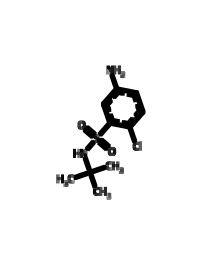 CC(C)(C)NS(=O)(=O)c1cc(N)ccc1Cl